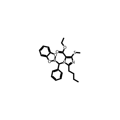 CCCCc1nc(SC)c(C(=O)OCC)n1C(B1Oc2ccccc2O1)c1ccccc1